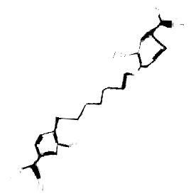 C=C(N)c1ccc(OCCCCCCCc2ccc(C(=N)N)cc2Br)c(Br)c1